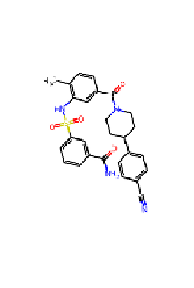 Cc1ccc(C(=O)N2CCC(c3ccc(C#N)cc3)CC2)cc1NS(=O)(=O)c1cccc(C(N)=O)c1